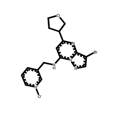 [O-][n+]1cccc(CNc2cc(C3CCOC3)nc3c(Br)cnn23)c1